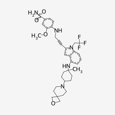 COc1cc(S(N)(=O)=O)ccc1NCC#Cc1cc2c(NC3(C)CCC(N4CCC5(CC4)COC5)CC3)cccc2n1CC(F)(F)F